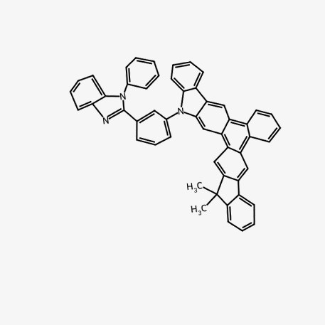 CC1(C)c2ccccc2-c2cc3c4ccccc4c4cc5c6ccccc6n(-c6cccc(-c7nc8ccccc8n7-c7ccccc7)c6)c5cc4c3cc21